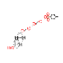 Cc1ccc(S(=O)(=O)OCCOCCOCCOCCOC2=CC[C@H]3C4CC[C@]5(C)[C@@H](O)CC[C@H]5[C@@H]4CC[C@H]3C2)cc1